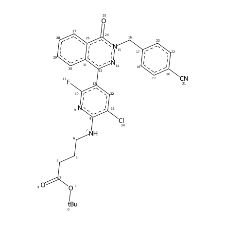 CC(C)(C)OC(=O)CCCNc1nc(F)c(-c2nn(Cc3ccc(C#N)cc3)c(=O)c3ccccc23)cc1Cl